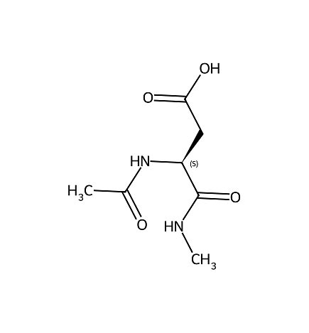 CNC(=O)[C@H](CC(=O)O)NC(C)=O